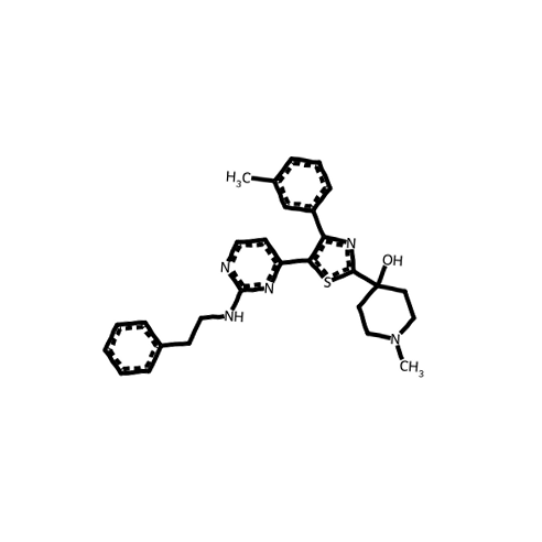 Cc1cccc(-c2nc(C3(O)CCN(C)CC3)sc2-c2ccnc(NCCc3ccccc3)n2)c1